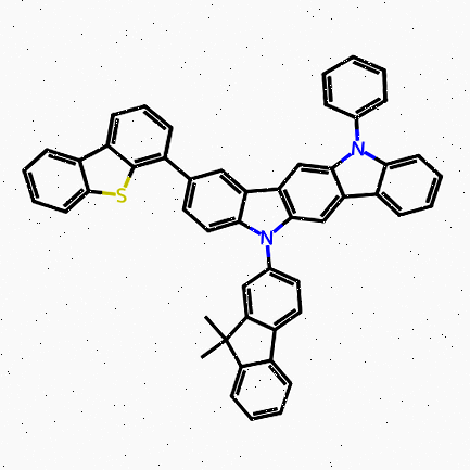 CC1(C)c2ccccc2-c2ccc(-n3c4ccc(-c5cccc6c5sc5ccccc56)cc4c4cc5c(cc43)c3ccccc3n5-c3ccccc3)cc21